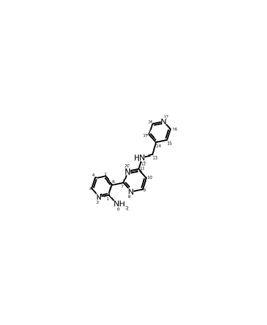 Nc1ncccc1-c1nccc(NCc2ccncc2)n1